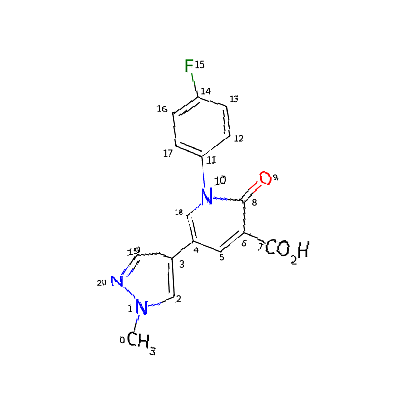 Cn1cc(-c2cc(C(=O)O)c(=O)n(-c3ccc(F)cc3)c2)cn1